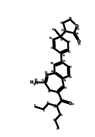 CCCN(CCC)C(=O)C1=Cc2ccc(C3=CCC(C)(C4CCOC4=O)C=C3)cc2N=C(N)C1